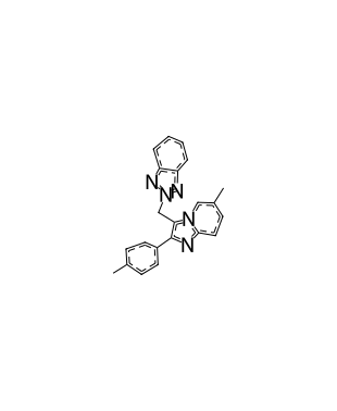 Cc1ccc(-c2nc3ccc(C)cn3c2Cn2nc3ccccc3n2)cc1